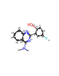 CN(C)c1nc(-c2cc(F)ccc2O)nc2ccccc12